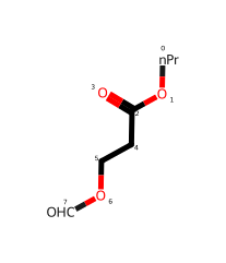 CCCOC(=O)CCOC=O